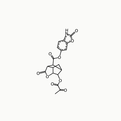 CC(=O)C(=O)OC1C2CC3C1OC(=O)C3C2C(=O)Oc1ccc2[nH]c(=O)oc2c1